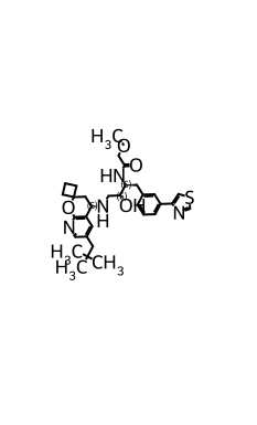 COCC(=O)N[C@@H](Cc1cccc(-c2cscn2)c1)[C@@H](O)CN[C@H]1CC2(CCC2)Oc2ncc(CC(C)(C)C)cc21